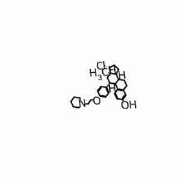 C[C@]12C[C@H](c3ccc(OCCN4CCCCC4)cc3)[C@@H]3c4ccc(O)cc4CC[C@H]3[C@@H]1CC[C@H]2Cl